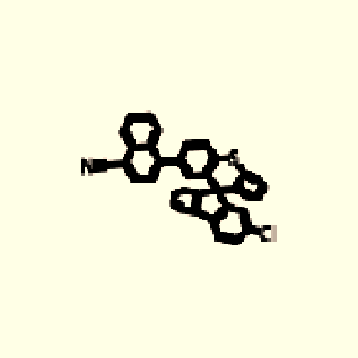 N#Cc1ccc(-c2ccc3c(c2)C2(C4=C(C=CCC4)c4ccc(Cl)cc42)c2ccccc2S3)c2ccccc12